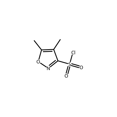 Cc1onc(S(=O)(=O)Cl)c1C